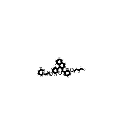 CCCCCOc1cccc(C(=O)c2ccc3ccccc3c2-c2ccc(OCCN3CCCCC3)cc2)c1